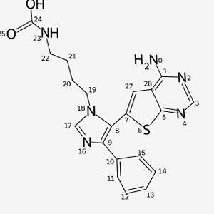 Nc1ncnc2sc(-c3c(-c4ccccc4)ncn3CCCCNC(=O)O)cc12